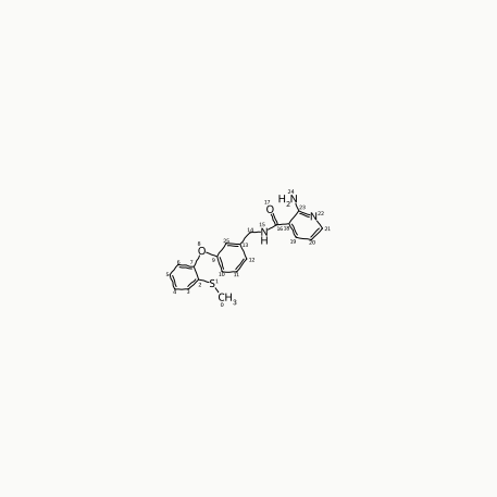 CSc1ccccc1Oc1cccc(CNC(=O)c2cccnc2N)c1